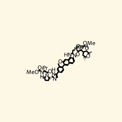 CCC[C@H](C)N(Cc1nc2ccc3cc4c(cc3c2[nH]1)OCc1cc(-c2cnc([C@@H]3CC[C@H](C)N3C(=O)[C@@H](NC(=O)OC)C(C)C)[nH]2)ccc1-4)C(=O)[C@@H](NC(=O)OC)C1C[C@@H](C)O[C@H](C)C1